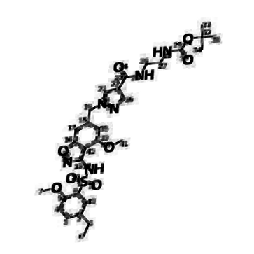 CCc1ccc(OC)c(S(=O)(=O)Nc2noc3cc(Cn4cc(C(=O)NCCNC(=O)OC(C)(C)C)cn4)cc(OC)c23)c1